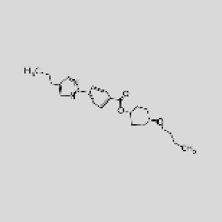 CCCCO[C@H]1CC[C@H](OC(=O)c2ccc(-c3ncc(CCC)cn3)cc2)CC1